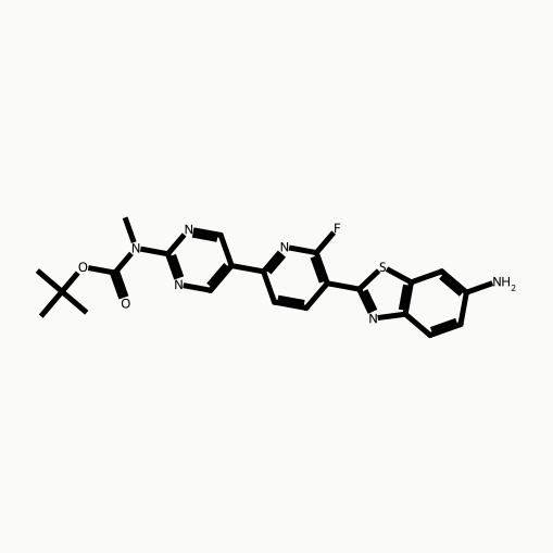 CN(C(=O)OC(C)(C)C)c1ncc(-c2ccc(-c3nc4ccc(N)cc4s3)c(F)n2)cn1